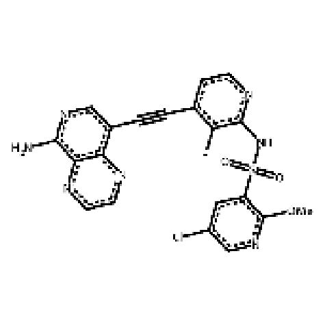 COc1ncc(Cl)cc1S(=O)(=O)Nc1nccc(C#Cc2cnc(N)c3nccnc23)c1F